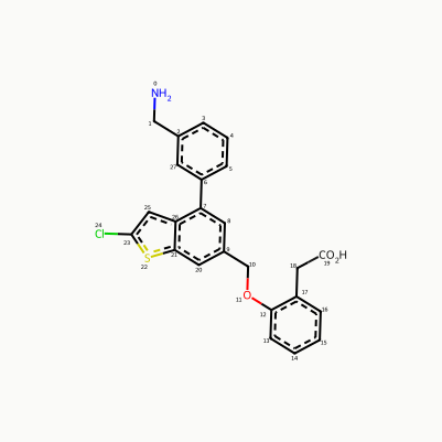 NCc1cccc(-c2cc(COc3ccccc3CC(=O)O)cc3sc(Cl)cc23)c1